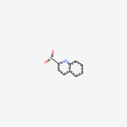 [O]=[Ti](=[O])[c]1ccc2ccccc2n1